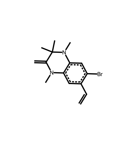 C=Cc1cc2c(cc1Br)N(C)C(C)(C)C(=C)N2C